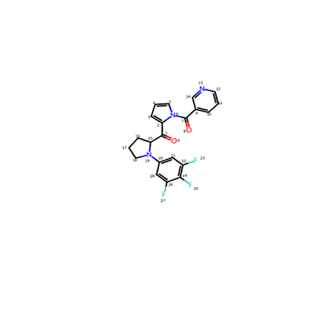 O=C(c1cccn1C(=O)c1cccnc1)C1CCCN1c1cc(F)c(F)c(F)c1